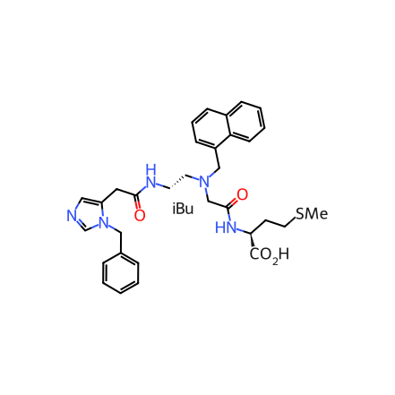 CC[C@H](C)[C@@H](CN(CC(=O)N[C@@H](CCSC)C(=O)O)Cc1cccc2ccccc12)NC(=O)Cc1cncn1Cc1ccccc1